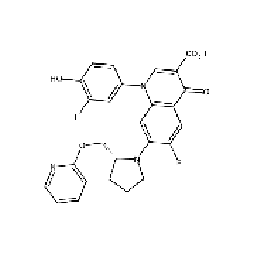 O=C(O)c1cn(-c2ccc(O)c(F)c2)c2cc(N3CCC[C@@H]3COc3ccccn3)c(F)cc2c1=O